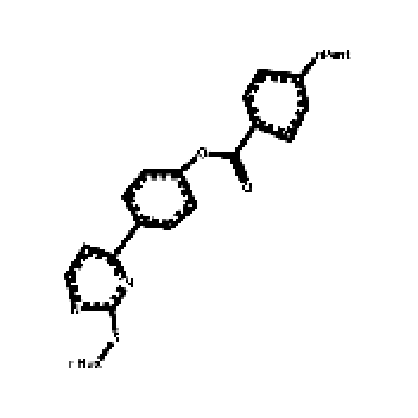 CCCCCCSc1nccc(-c2ccc(OC(=O)c3ccc(CCCCC)cc3)cc2)n1